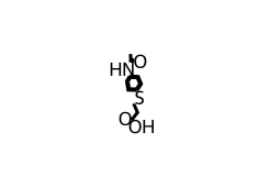 CC(=O)Nc1ccc(SCCC(=O)O)cc1